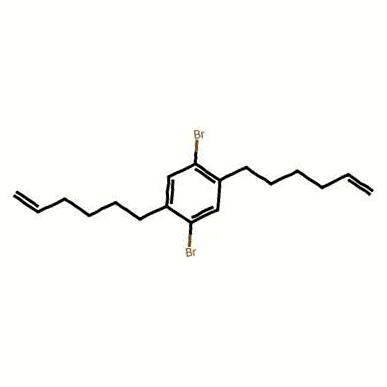 C=CCCCCc1cc(Br)c(CCCCC=C)cc1Br